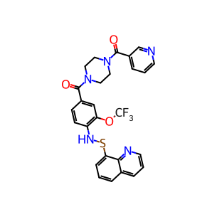 O=C(c1cccnc1)N1CCN(C(=O)c2ccc(NSc3cccc4cccnc34)c(OC(F)(F)F)c2)CC1